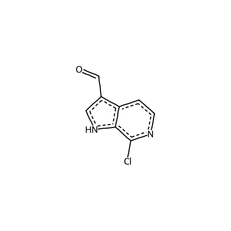 O=Cc1c[nH]c2c(Cl)nccc12